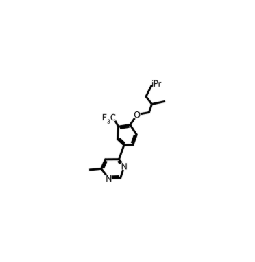 Cc1cc(-c2ccc(OCC(C)CC(C)C)c(C(F)(F)F)c2)ncn1